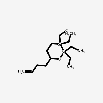 C=CCCC1CC[Si](CC)(CC)[Si](CC)(CC)O1